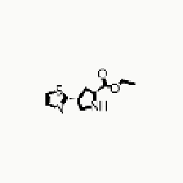 CCOC(=O)[C@@H]1C[C@@H](c2nccs2)CN1